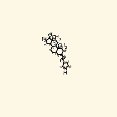 CC12CCC3C(CCC4CC(=NOC5CCNC5)CCC43C)C1CC(F)C2=O